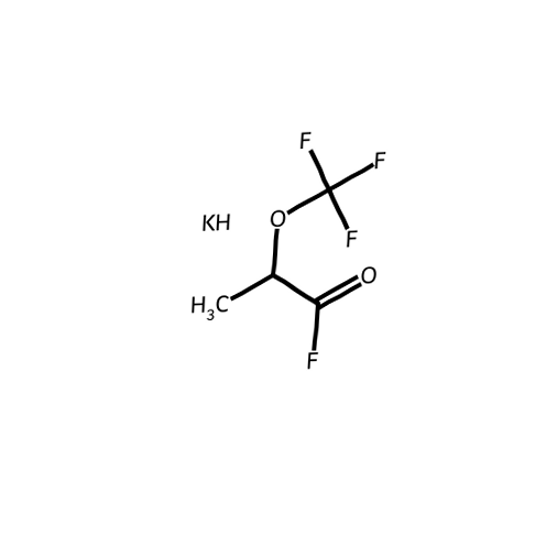 CC(OC(F)(F)F)C(=O)F.[KH]